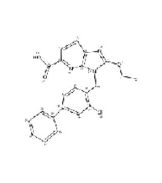 CCOc1nc2ccc(C(=O)O)nc2n1Cc1ccc(-c2ccccc2)cc1Cl